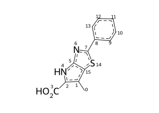 Cc1c(C(=O)O)[nH]c2nc(-c3ccccc3)sc12